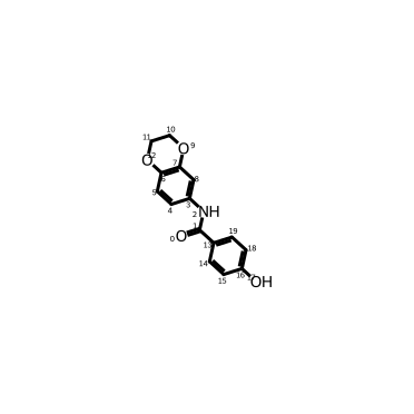 O=C(Nc1ccc2c(c1)OCCO2)c1ccc(O)cc1